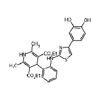 CCOC(=O)C1=C(C)NC(C)=C(C(=O)OCC)C1c1ccccc1Nc1nc(-c2ccc(O)c(O)c2)cs1